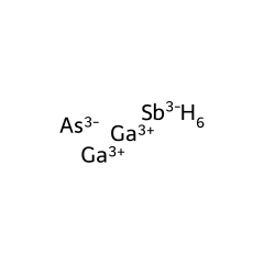 [As-3].[Ga+3].[Ga+3].[SbH6-3]